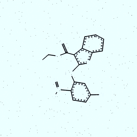 CCOC(=O)c1c(Nc2cc(Cl)ccc2[N+](=O)[O-])sc2ccccc12